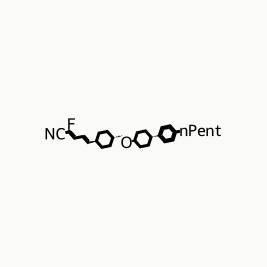 CCCCCc1ccc([C@H]2CC[C@H](OC[C@H]3CC[C@H](/C=C/C=C(\F)C#N)CC3)CC2)cc1